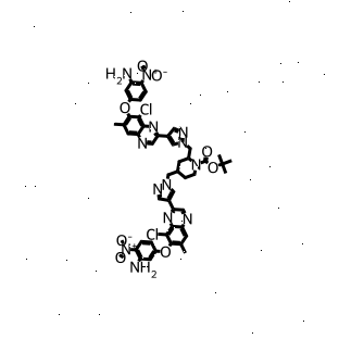 Cc1cc2ncc(-c3cnn(CC4CCN(C(=O)OC(C)(C)C)C(Cn5cc(-c6cnc7cc(C)c(Oc8ccc([N+](=O)[O-])c(N)c8)c(Cl)c7n6)cn5)C4)c3)nc2c(Cl)c1Oc1ccc([N+](=O)[O-])c(N)c1